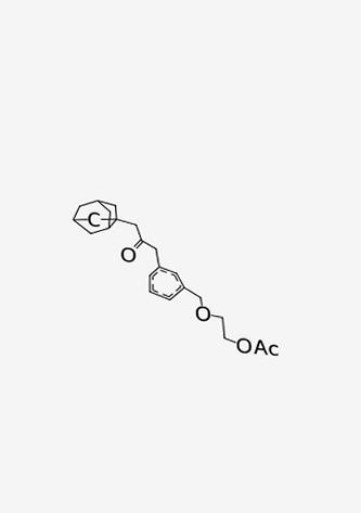 CC(=O)OCCOCc1cccc(CC(=O)CC23CC4CC(CC2C4)C3)c1